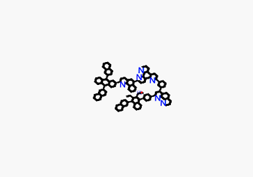 C=Cc1c(/C=C\C)c(-c2ccc(-c3cc(-c4cccc(-c5ccc6c7cccnc7c7nc(-c8cc9ccc(-c%10ccc%11c(-c%12ccc%13ccccc%13c%12)c%12ccccc%12c(-c%12ccc%13ccccc%13c%12)c%11c%10)nc9c9ccccc89)ccc7c6n5)c4)c4ccc5cccnc5c4n3)cc2)c2ccccc2c1-c1ccc2ccccc2c1